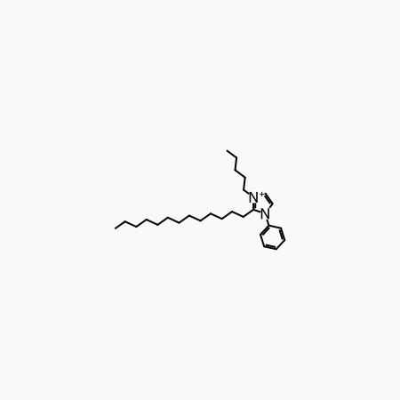 CCCCCCCCCCCCCc1n(-c2ccccc2)cc[n+]1CCCCC